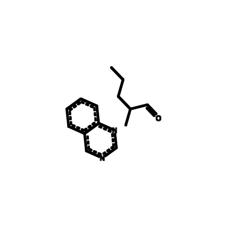 CCCC(C)C=O.c1ccc2ncncc2c1